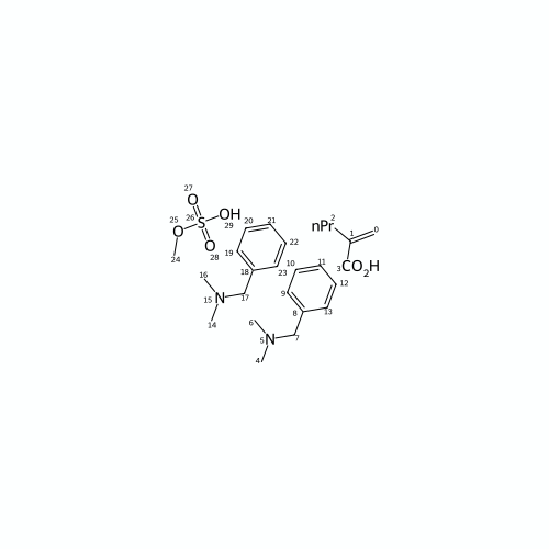 C=C(CCC)C(=O)O.CN(C)Cc1ccccc1.CN(C)Cc1ccccc1.COS(=O)(=O)O